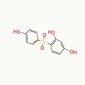 O=S(=O)(c1ccc(O)cc1)c1ccc(O)cc1O